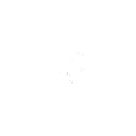 CC(C)(C)OC(=O)N(N=O)C1(C)CC1